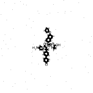 N[C@@H]1CCN(C(=O)[C@H](NS(=O)(=O)c2ccc3cc(OC4CCCC4)ccc3c2)C(F)(F)c2ccc(-c3ccc(Cl)cc3)cc2)C1.O=C(O)C(F)(F)F